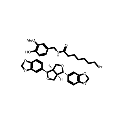 COc1cc(CNC(=O)CCCCCCC(C)C)ccc1O.c1cc2c(cc1[C@H]1OC[C@H]3[C@@H]1CO[C@H]3c1ccc3c(c1)OCO3)OCO2